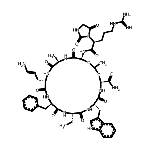 CC[C@@H]1NC(=O)[C@@H](Cc2ccccc2)NC(=O)[C@H](C/C=C/N)NC(=O)[C@@H](C)NC(=O)[C@@H](NC(=O)[C@H](CCCNC(=N)N)N2C(=O)CNC2=O)CC(C)C[C@@H](C(N)=O)NC(=O)[C@H](Cc2c[nH]c3ccccc23)NC1=O